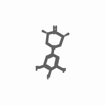 C[C@@H]1CN(c2cc(F)c(F)c(F)c2)C[C@H](C)N1